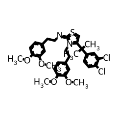 COc1ccc(CCN=c2scc(C(C)(C)c3ccc(Cl)c(Cl)c3)n2CCc2ccc(OC)c(OC)c2)cc1OC